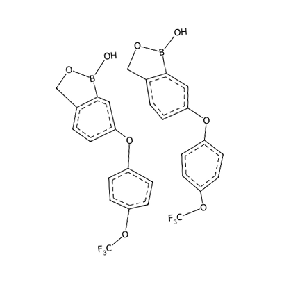 OB1OCc2ccc(Oc3ccc(OC(F)(F)F)cc3)cc21.OB1OCc2ccc(Oc3ccc(OC(F)(F)F)cc3)cc21